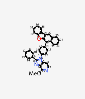 COc1nccc2c1nc(-c1ccccc1)n2-c1ccc(-c2c3ccccc3cc3c2oc2ccccc23)cc1